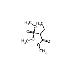 CCC(C(=O)OC)P(=O)(OC)OC